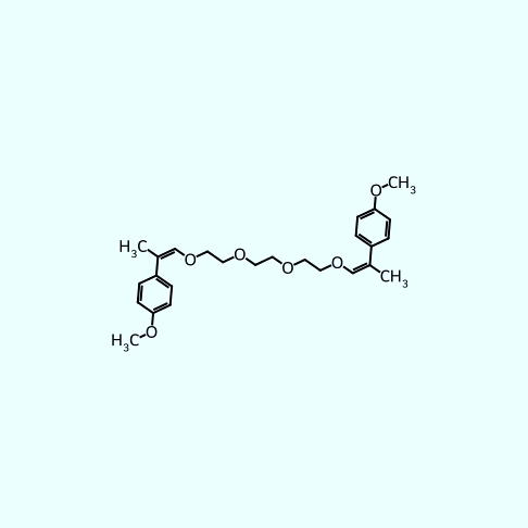 COc1ccc(/C(C)=C\OCCOCCOCCO/C=C(/C)c2ccc(OC)cc2)cc1